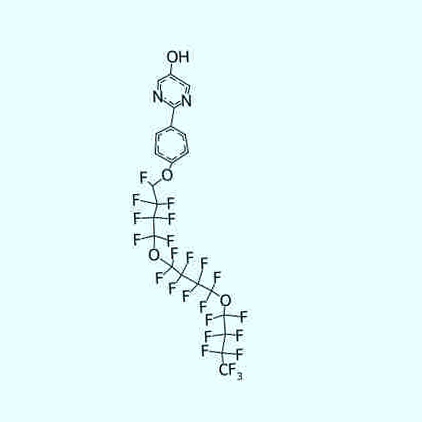 Oc1cnc(-c2ccc(OC(F)C(F)(F)C(F)(F)C(F)(F)OC(F)(F)C(F)(F)C(F)(F)C(F)(F)OC(F)(F)C(F)(F)C(F)(F)C(F)(F)F)cc2)nc1